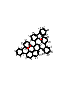 c1ccc(-c2ccccc2-c2ccc3ccc4c(-c5ccccc5-c5ccccc5)cc(-c5cccc6c5oc5ccccc56)c5ccc2c3c45)cc1